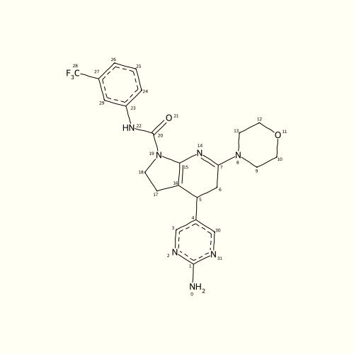 Nc1ncc(C2CC(N3CCOCC3)=NC3=C2CCN3C(=O)Nc2cccc(C(F)(F)F)c2)cn1